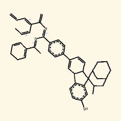 C=C/C=C(\C=C/C)C(=C)/N=C(\N=C(/C)C1=CCCC=C1)c1ccc(C2=CC3c4ccc(S)cc4C4(C(C)CC5CCCC4C5)C3C=C2)cc1